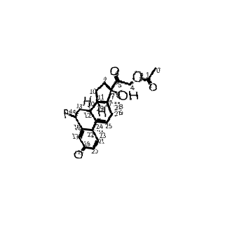 CC(=O)OCC(=O)[C@@]1(O)CC[C@H]2[C@@H]3CC(F)C4=CC(=O)C=C[C@]4(C)C3=CC[C@@]21C